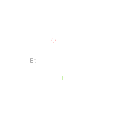 [CH2]CC1OCCCC1F